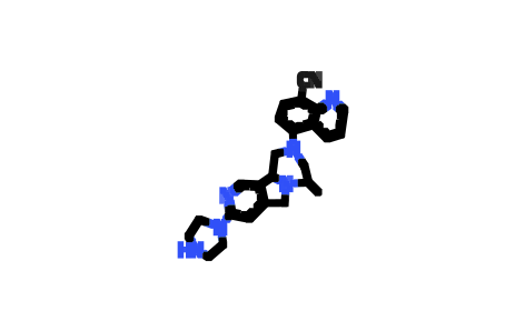 CC1CN(c2ccc(C#N)c3ncccc23)CC2c3cnc(N4CCNCC4)cc3CN12